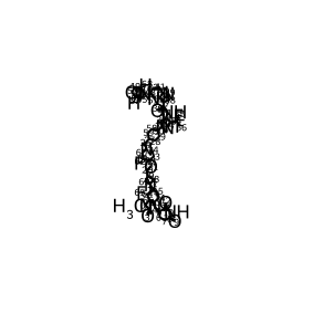 Cn1c(=O)n(C2CCC(=O)NC2=O)c2ccc(N3CC(CO[C@@H]4CCN(CC5CCC(n6cc(NC(=O)c7cnn8ccc(N9C[C@H]%10C[C@@H]9CO%10)nc78)c(C(F)F)n6)CC5)C[C@@H]4F)C3)c(F)c21